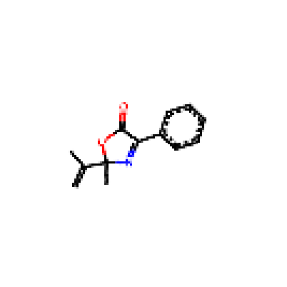 C=C(C)C1(C)N=C(c2ccccc2)C(=O)O1